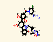 COc1cc(C(=O)N2C[C@H](N)C[C@@H](F)C2)cc2oc(-c3cc4cccc(OCc5ncno5)c4n3CC3CC3)c(CCO)c12